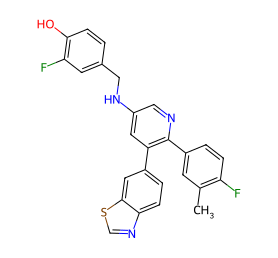 Cc1cc(-c2ncc(NCc3ccc(O)c(F)c3)cc2-c2ccc3ncsc3c2)ccc1F